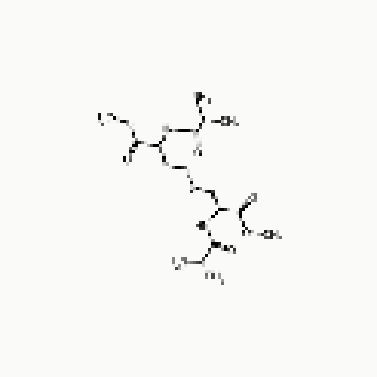 COC(=O)[C@H](CSSC[C@H](NC(=O)[C@H](C)N)C(=O)OC)NC(=O)[C@H](C)N